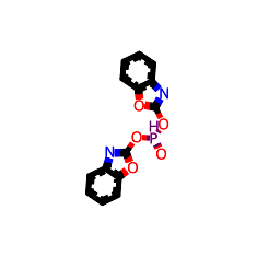 O=[PH](Oc1nc2ccccc2o1)Oc1nc2ccccc2o1